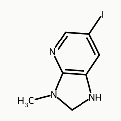 CN1CNc2cc(I)cnc21